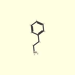 NCCc1[c]cccc1